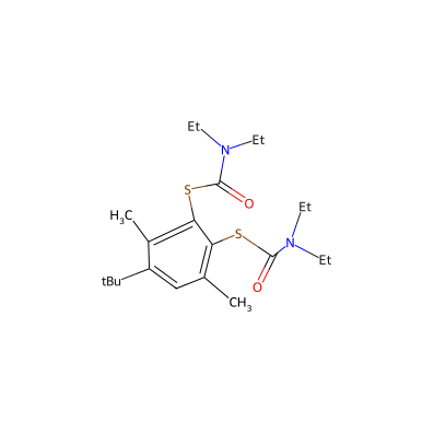 CCN(CC)C(=O)Sc1c(C)cc(C(C)(C)C)c(C)c1SC(=O)N(CC)CC